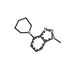 Cn1nnc2c(N3CCCCC3)cccc21